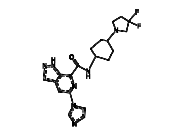 O=C(NC1CCC(N2CCC(F)(F)C2)CC1)c1nc(-n2ccnc2)cc2cn[nH]c12